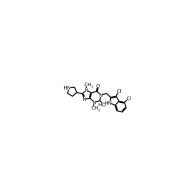 CN1c2nc(C3CCNC3)n(C)c2C(=O)N(Cc2[nH]c3cccc(Cl)c3c2Cl)C1O